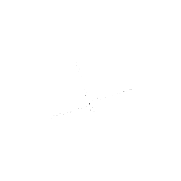 CCCCCCCCCCCC(=O)OCC(COC(=O)CCCCCCCCCCC)(COC(O)CCCCCCCCCCC)C[N+](C)(C)C